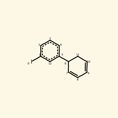 Ic1cccc(C2C=CC=CC2)c1